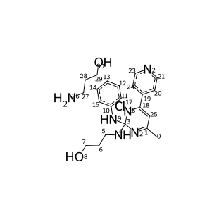 CC1=NC(NCCCO)(Nc2ccccc2)N(Cl)C(c2ccncc2)=C1.NCCCO